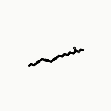 CCCC#CCC#CCC#CCCCCCCC(=O)OCC